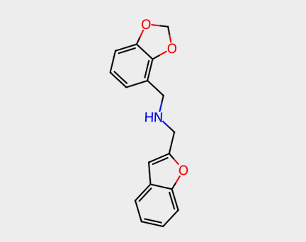 c1cc(CNCc2cc3ccccc3o2)c2c(c1)OCO2